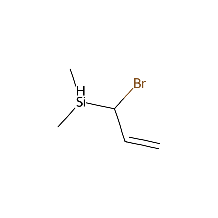 C=CC(Br)[SiH](C)C